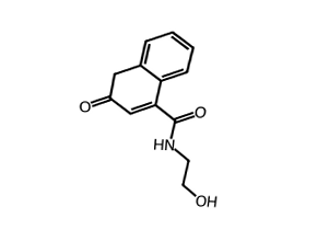 O=C1C=C(C(=O)NCCO)c2ccccc2C1